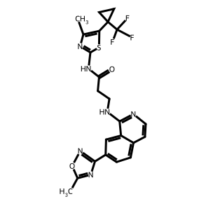 Cc1nc(-c2ccc3ccnc(NCCC(=O)Nc4nc(C)c(C5(C(F)(F)F)CC5)s4)c3c2)no1